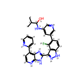 CC(C)C(O)Nc1cncc(-c2ccc3[nH]nc(-c4nc5c(-c6ccccn6)ccnc5[nH]4)c3c2F)c1